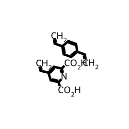 C=Cc1cc(C(=O)O)nc(C(=O)O)c1.C=Cc1ccc(C=C)cc1